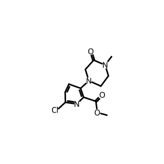 COC(=O)c1nc(Cl)ccc1N1CCN(C)C(=O)C1